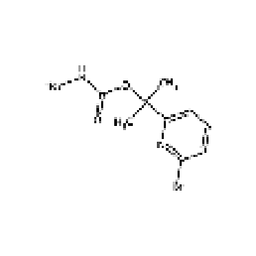 CC(C)(C)NC(=O)OC(C)(C)c1cccc(Br)n1